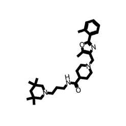 Cc1ccccc1-c1nc(CN2CCC(C(=O)NCCCN3CC(C)(C)CC(C)(C)C3)CC2)c(C)o1